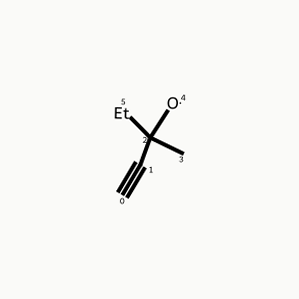 C#CC(C)([O])CC